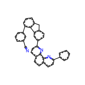 N#Cc1cccc(-c2cccc3c2-c2cc(-c4ccc5ccc6ccc(-c7ccccc7)nc6c5n4)ccc2C3)c1